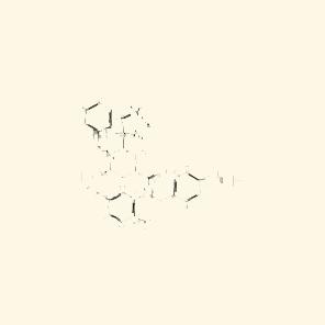 COc1ccc(CN(C(=O)C2CC(C)N(Cc3ccccc3)C(C3(C)C=NN=N3)C2)c2cc(Cl)ccc2Br)cc1